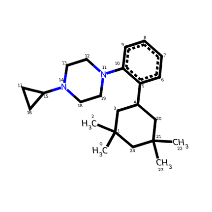 CC1(C)CC(c2ccccc2N2CCN(C3CC3)CC2)CC(C)(C)C1